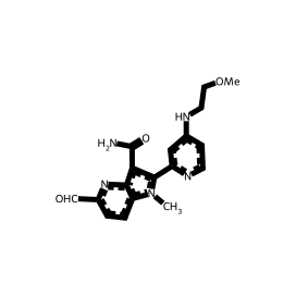 COCCNc1ccnc(-c2c(C(N)=O)c3nc(C=O)ccc3n2C)c1